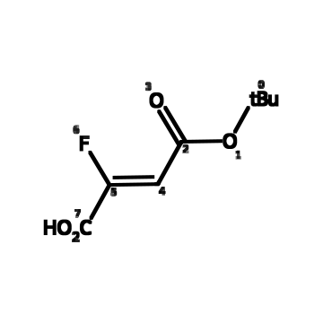 CC(C)(C)OC(=O)C=C(F)C(=O)O